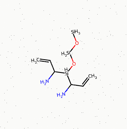 C=CC(N)[SiH](O[SiH2]O[SiH3])C(N)C=C